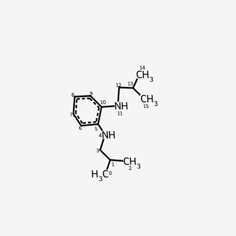 CC(C)CNc1c[c]ccc1NCC(C)C